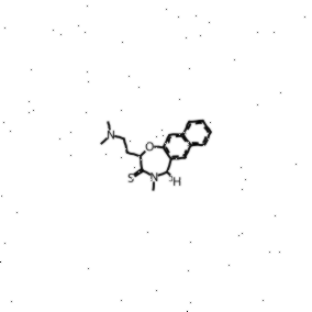 [3H]C1c2cc3ccccc3cc2OC(CCN(C)C)C(=S)N1C